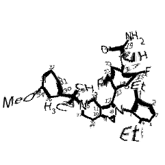 CCc1cccc(CC)c1-n1nc2c(c1-c1cc(F)c(NC(N)=O)cc1F)CN(C(C)(C)c1cccc(OC)c1)CC2